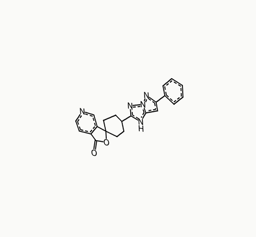 O=C1OC2(CCC(c3nn4nc(-c5ccccc5)cc4[nH]3)CC2)c2cnccc21